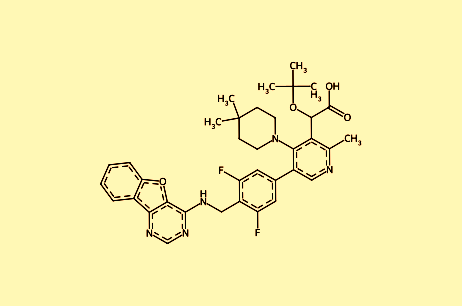 Cc1ncc(-c2cc(F)c(CNc3ncnc4c3oc3ccccc34)c(F)c2)c(N2CCC(C)(C)CC2)c1C(OC(C)(C)C)C(=O)O